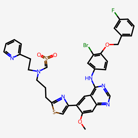 COc1cc2ncnc(Nc3ccc(OCc4cccc(F)c4)c(Br)c3)c2cc1-c1csc(CCCN(C=S(=O)=O)CCc2ccccn2)n1